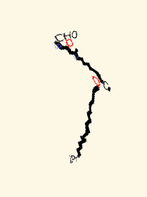 C=C=C(CCCCC/C=C(\C)CC(=O)/C=C\C=O)OCCCCCCCCCCCCCCCC(C)C